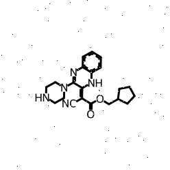 N#CC(C(=O)OCC1CCCC1)=C1Nc2ccccc2N=C1N1CCNCC1